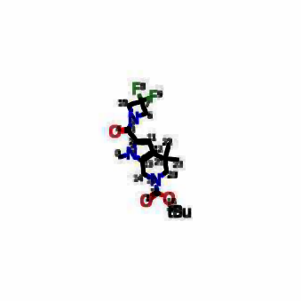 Cn1c(C(=O)N2CC(F)(F)C2)cc2c1CN(C(=O)OC(C)(C)C)CC2(C)C